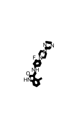 Cc1cccc2c1C(=CNc1ccc(N3CCN(c4cnccn4)CC3)c(F)c1)C(=O)N2